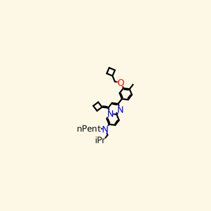 CCCCCN(CC(C)C)C1=CN2C(=NC(c3ccc(C)c(OCC4CCC4)c3)=CC2=C2CCC2)C=C1